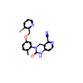 Cc1ccc(OCc2ncccc2F)cc1N1Cc2c(ccnc2C#N)NC1=O